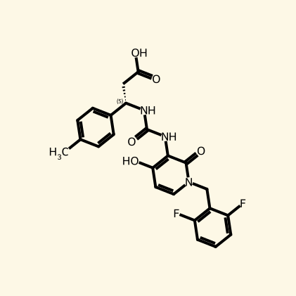 Cc1ccc([C@H](CC(=O)O)NC(=O)Nc2c(O)ccn(Cc3c(F)cccc3F)c2=O)cc1